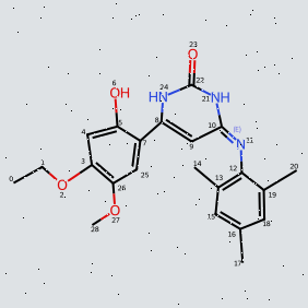 CCOc1cc(O)c(-c2c/c(=N\c3c(C)cc(C)cc3C)[nH]c(=O)[nH]2)cc1OC